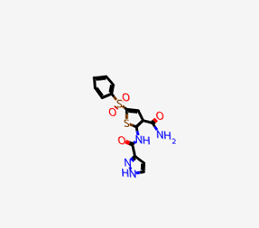 NC(=O)C1C=C(S(=O)(=O)c2ccccc2)SC1NC(=O)c1cc[nH]n1